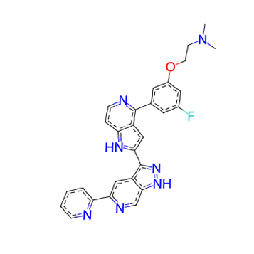 CN(C)CCOc1cc(F)cc(-c2nccc3[nH]c(-c4n[nH]c5cnc(-c6ccccn6)cc45)cc23)c1